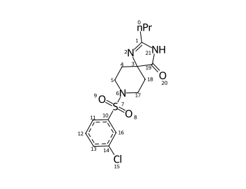 CCCC1=NC2(CCN(S(=O)(=O)c3cccc(Cl)c3)CC2)C(=O)N1